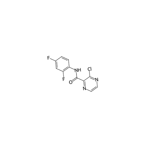 O=C(Nc1ccc(F)cc1F)c1nccnc1Cl